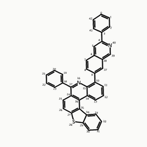 c1ccc(-c2cc3ccc(-c4cccc5c4nc(-c4ccccc4)c4ccc6sc7ccccc7c6c45)cc3cn2)cc1